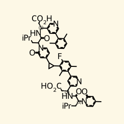 Cc1ccn([C@@H](CC(C)C)C(=O)N[C@@H](CC(=O)O)c2cncc(-c3c(C)cc(F)c(C4CC4c4ccn(C(CC(C)C)C(=O)N[C@@H](CC(=O)O)c5cncc(-c6c(C)cccc6C)c5)c(=O)c4)c3C)c2)c(=O)c1